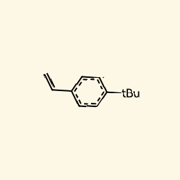 C=Cc1c[c]c(C(C)(C)C)cc1